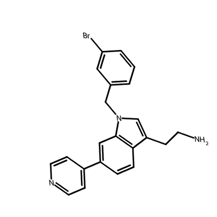 NCCc1cn(Cc2cccc(Br)c2)c2cc(-c3ccncc3)ccc12